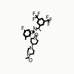 CC(=O)N1CCN([C@@H]2CCN(OC(=O)N(C)[C@H](C)c3cc(C(F)(F)F)cc(C(F)(F)F)c3)[C@@H](c3ccc(F)cc3C)C2)CC1